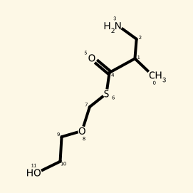 CC(CN)C(=O)SCOCCO